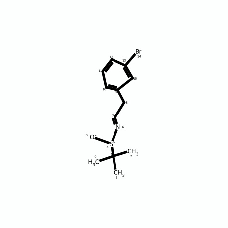 CC(C)(C)[S+]([O-])/N=C/Cc1cccc(Br)c1